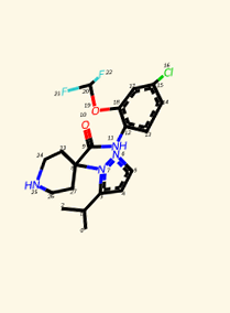 CC(C)c1ccnn1C1(C(=O)Nc2ccc(Cl)cc2OC(F)F)CCNCC1